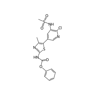 Cc1nc(NC(=O)Oc2ccccc2)sc1-c1cnc(Cl)c(NS(C)(=O)=O)c1